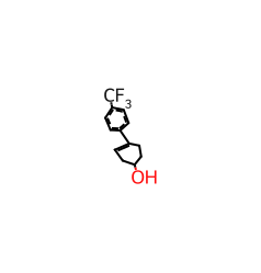 OC1CC=C(c2ccc(C(F)(F)F)cc2)CC1